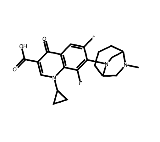 CN1CC2CCCC1CN2c1c(F)cc2c(=O)c(C(=O)O)cn(C3CC3)c2c1F